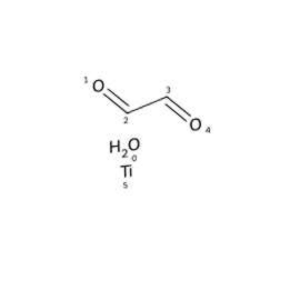 O.O=CC=O.[Ti]